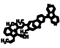 C#Cc1c(/C=C\C)c2ccccc2n1/C(C=C)=C/C(C)C1=CC2C=C(C=C1C)Sc1cc(-n3c4cnccc4c4ccncc43)ccc12